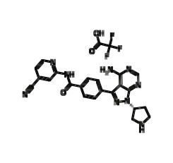 N#Cc1ccnc(NC(=O)c2ccc(-c3nn([C@@H]4CCNC4)c4ncnc(N)c34)cc2)c1.O=C(O)C(F)(F)F